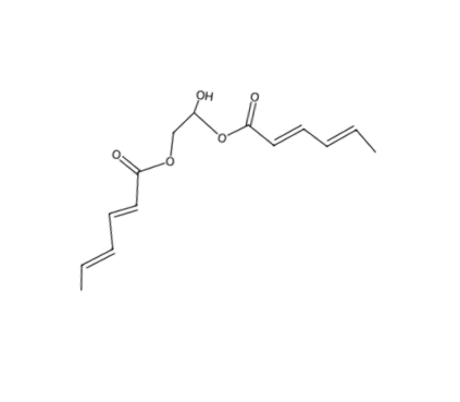 C/C=C/C=C/C(=O)OCC(O)OC(=O)/C=C/C=C/C